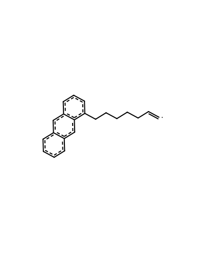 [CH]=CCCCCCc1cccc2cc3ccccc3cc12